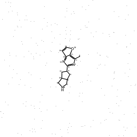 Cc1nc(C2CC3CNCC3C2)nc2ccoc12